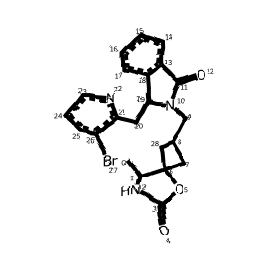 CC1NC(=O)OC12CC(CN1C(=O)c3ccccc3C1Cc1ncccc1Br)C2